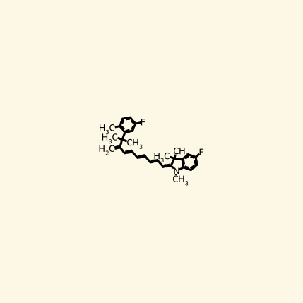 C=C(/C=C/C=C/C=C/C=C1/N(C)c2ccc(F)cc2C1(C)C)C(C)(C)c1cc(F)ccc1C